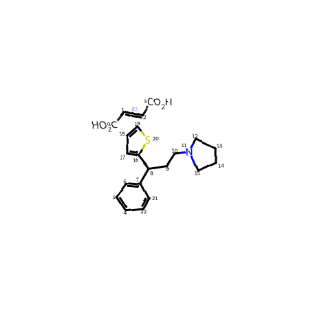 O=C(O)/C=C/C(=O)O.c1ccc(C(CCN2CCCC2)c2cccs2)cc1